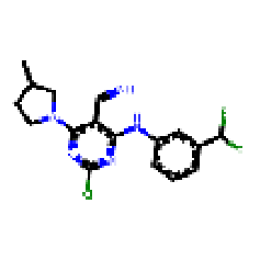 CC1CCN(c2nc(Cl)nc(Nc3cccc(C(F)F)c3)c2C=N)C1